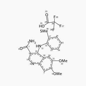 COc1cc2ncc(C(N)=O)c(Nc3ccccc3SC)c2cc1OC.O=C(O)C(F)(F)F